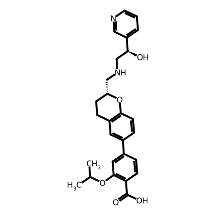 CC(C)Oc1cc(-c2ccc3c(c2)CC[C@H](CNC[C@H](O)c2cccnc2)O3)ccc1C(=O)O